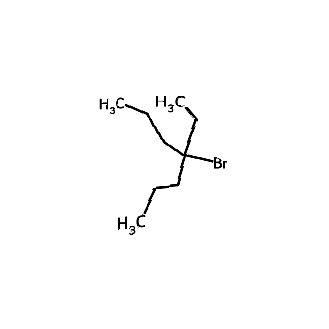 CCCC(Br)(CC)CCC